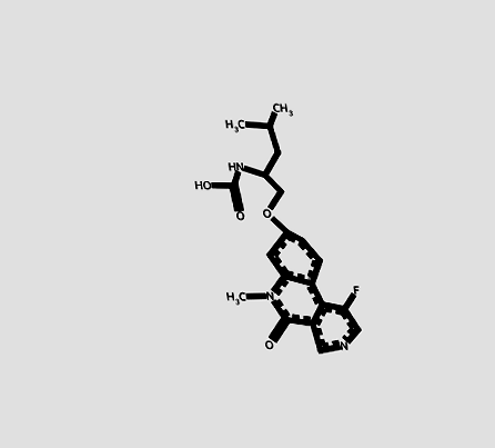 CC(C)CC(COc1ccc2c3c(F)cncc3c(=O)n(C)c2c1)NC(=O)O